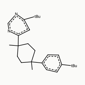 CC(C)(C)c1ccc(C2(C)CCC(C)(c3cc(C(C)(C)C)ncn3)CC2)cc1